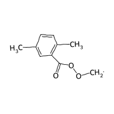 [CH2]OOC(=O)c1cc(C)ccc1C